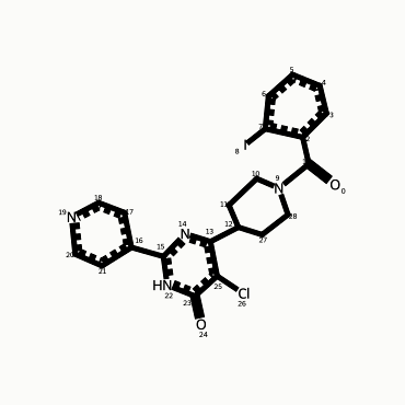 O=C(c1ccccc1I)N1CCC(c2nc(-c3ccncc3)[nH]c(=O)c2Cl)CC1